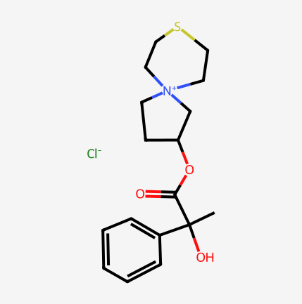 CC(O)(C(=O)OC1CC[N+]2(CCSCC2)C1)c1ccccc1.[Cl-]